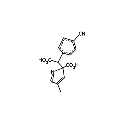 CC1=CC(C(=O)O)(C(C(=O)O)c2ccc(C#N)cc2)N=N1